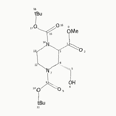 COC(=O)C1[C@H](CO)N(C(=O)OC(C)(C)C)CCN1C(=O)OC(C)(C)C